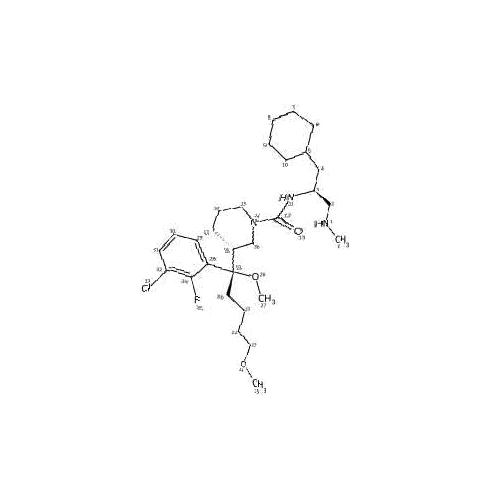 CNC[C@H](CC1CCCCC1)NC(=O)N1CCC[C@@H]([C@](CCCCOC)(OC)c2cccc(Cl)c2F)C1